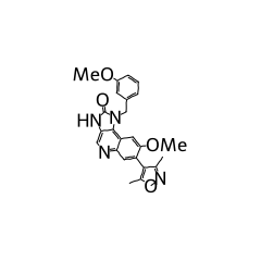 COc1cccc(Cn2c(=O)[nH]c3cnc4cc(-c5c(C)noc5C)c(OC)cc4c32)c1